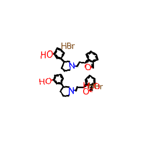 Br.Br.O.Oc1cccc(C2CCCN(CCc3occ4ccccc34)C2)c1.Oc1cccc(C2CCCN(CCc3occ4ccccc34)C2)c1